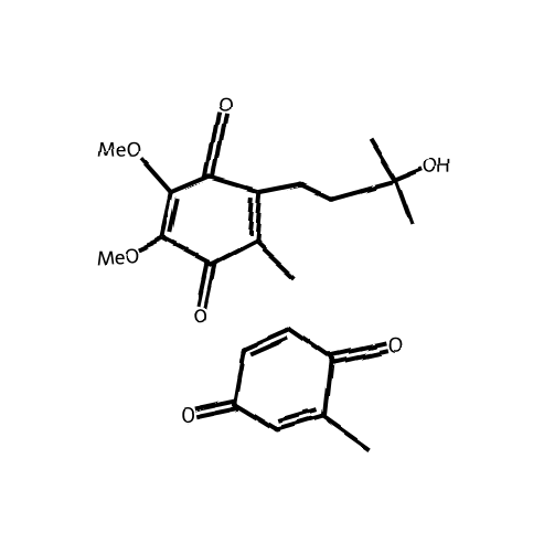 CC1=CC(=O)C=CC1=O.COC1=C(OC)C(=O)C(CCC(C)(C)O)=C(C)C1=O